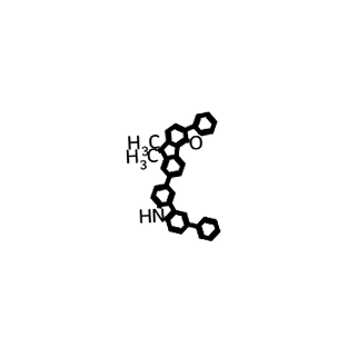 CC1(C)c2cc(-c3ccc4[nH]c5ccc(-c6ccccc6)cc5c4c3)ccc2-c2c1ccc1c2oc2ccccc21